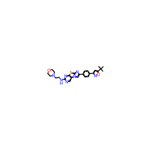 CC(C)(C)c1cc(-c2ccc(-c3cn4c(n3)sc3nc(NCCN5CCOCC5)ncc34)cc2)no1